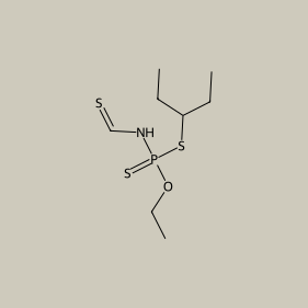 CCOP(=S)(NC=S)SC(CC)CC